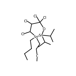 CCC[CH2][Sn]1([CH2]CCC)[CH](Cl)C(Cl)C(Cl)(Cl)[O][Sn]1([CH](C)C)[CH](C)C